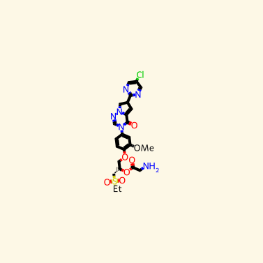 CCS(=O)(=O)C[C@H](COc1ccc(N2C=NN3CC(c4ncc(Cl)cn4)C=C3C2=O)cc1OC)OC(=O)CN